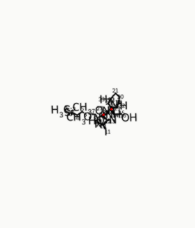 C[Si](C)(C)CCOCn1nc(I)c2nc(CO)c(N3[C@@H]4CC[C@H]3C[C@H](NC(=O)O)C4)nc21